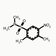 Cc1cc(C)c(S(=O)(=O)N(C)C)cc1[N+](=O)[O-]